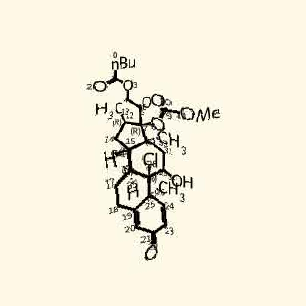 CCCCC(=O)OCC(=O)[C@@]1(OC(=O)OC)[C@H](C)C[C@H]2[C@@H]3CCC4=CC(=O)C=C[C@]4(C)[C@@]3(Cl)C(O)C[C@@]21C